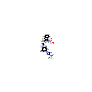 COC(=O)CC1(C(=O)NCc2nc3ccc(N4CC([N+](C)(C)C)C4)cc3s2)Cc2ccccc2C1